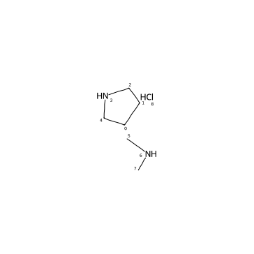 C1CCNC1.CNC.Cl